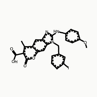 COc1ccc(Nc2nc3cc4c(C)c(C(=O)O)c(=O)oc4cc3n2Cc2cccc(I)c2)cc1